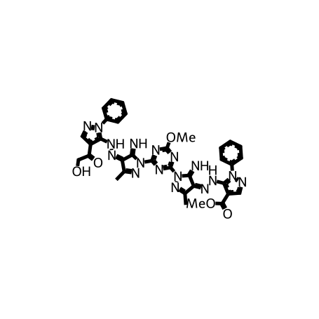 COC(=O)c1cnn(-c2ccccc2)c1N/N=C1\C(=N)N(c2nc(OC)nc(N3N=C(C)/C(=N/Nc4c(C(=O)CO)cnn4-c4ccccc4)C3=N)n2)N=C1C